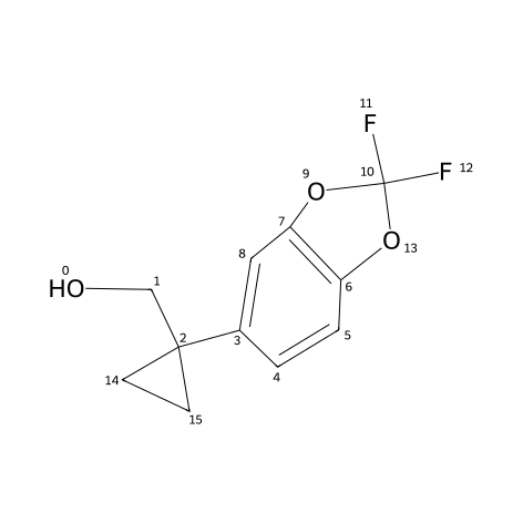 OCC1(c2ccc3c(c2)OC(F)(F)O3)CC1